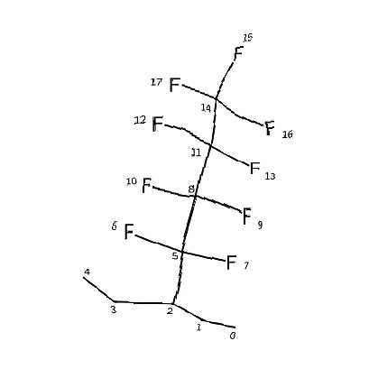 CCC(CC)C(F)(F)C(F)(F)C(F)(F)C(F)(F)F